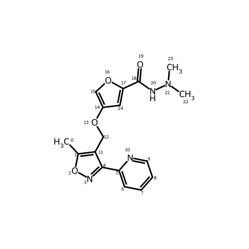 Cc1onc(-c2ccccn2)c1COc1coc(C(=O)NN(C)C)c1